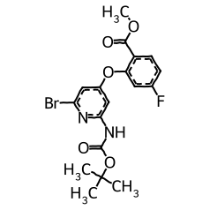 COC(=O)c1ccc(F)cc1Oc1cc(Br)nc(NC(=O)OC(C)(C)C)c1